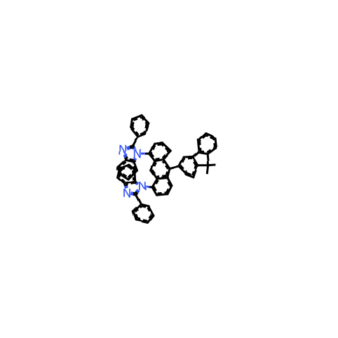 CC1(C)c2ccccc2-c2cc(-c3c4cccc(-n5c(-c6ccccc6)nc6ccccc65)c4cc4c(-n5c(-c6ccccc6)nc6ccccc65)cccc34)ccc21